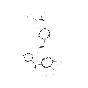 COc1cc(C(=O)c2cccn2C/C=C/c2cccc(OC(C)C(=O)O)c2)ccc1C